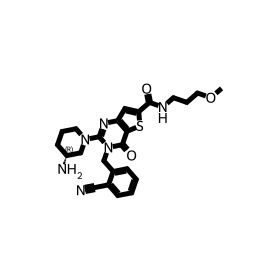 COCCCNC(=O)c1cc2nc(N3CCC[C@@H](N)C3)n(Cc3ccccc3C#N)c(=O)c2s1